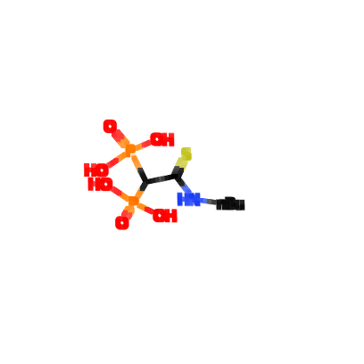 CCCCNC(=S)C(P(=O)(O)O)P(=O)(O)O